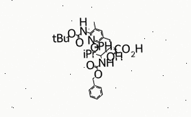 Cc1cc(C[C@H](C(=O)O)C(O)([PH2]=O)C(NC(=O)OCc2ccccc2)C(C)C)cnc1NC(=O)OC(C)(C)C